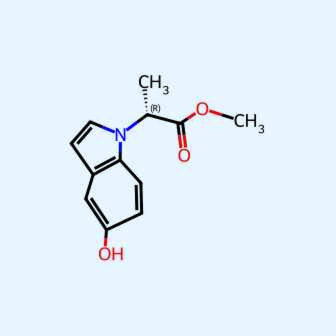 COC(=O)[C@@H](C)n1ccc2cc(O)ccc21